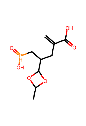 C=C(CC(C[PH](=O)O)C1OC(C)O1)C(=O)O